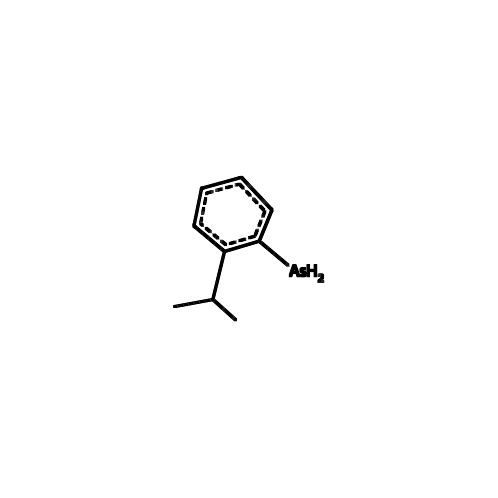 CC(C)c1ccccc1[AsH2]